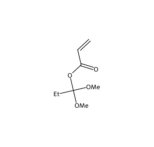 C=CC(=O)OC(CC)(OC)OC